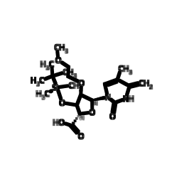 C=C1NC(=O)N([C@H]2O[C@H](C(=O)O)C(O[Si](C)(C)C(C)(C)C)C2OCCOC)C=C1C